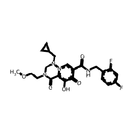 COCCN1CN(CC2CC2)n2cc(C(=O)NCc3ccc(F)cc3F)c(=O)c(O)c2C1=O